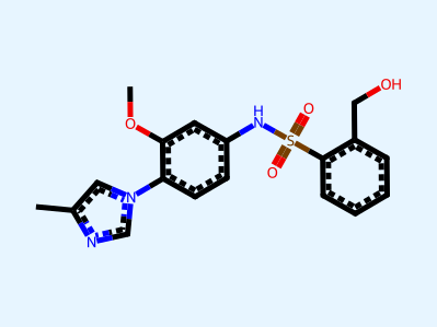 COc1cc(NS(=O)(=O)c2ccccc2CO)ccc1-n1cnc(C)c1